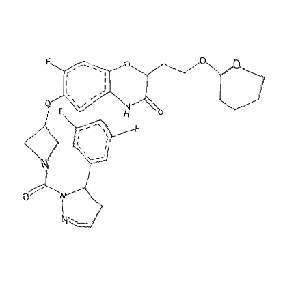 O=C1Nc2cc(OC3CN(C(=O)N4N=CCC4c4cc(F)cc(F)c4)C3)c(F)cc2OC1CCOC1CCCCO1